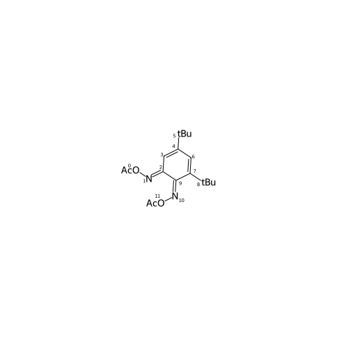 CC(=O)ON=C1C=C(C(C)(C)C)C=C(C(C)(C)C)C1=NOC(C)=O